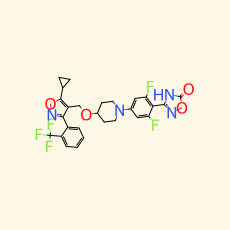 O=c1[nH]c(-c2c(F)cc(N3CCC(OCc4c(-c5ccccc5C(F)(F)F)noc4C4CC4)CC3)cc2F)no1